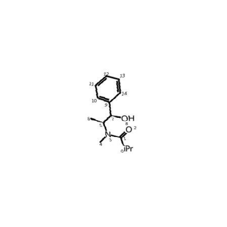 CC(C)C(=O)N(C)[C@@H](C)[C@H](O)c1ccccc1